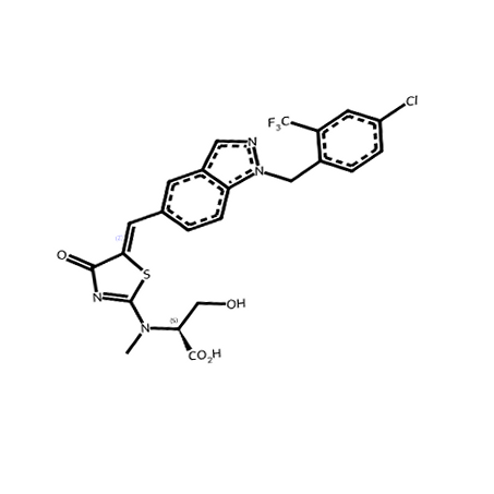 CN(C1=NC(=O)/C(=C/c2ccc3c(cnn3Cc3ccc(Cl)cc3C(F)(F)F)c2)S1)[C@@H](CO)C(=O)O